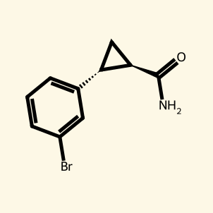 NC(=O)[C@@H]1C[C@H]1c1cccc(Br)c1